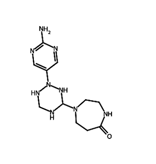 Nc1ncc(N2NCNC(N3CCNC(=O)CC3)N2)cn1